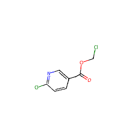 O=C(OCCl)c1ccc(Cl)nc1